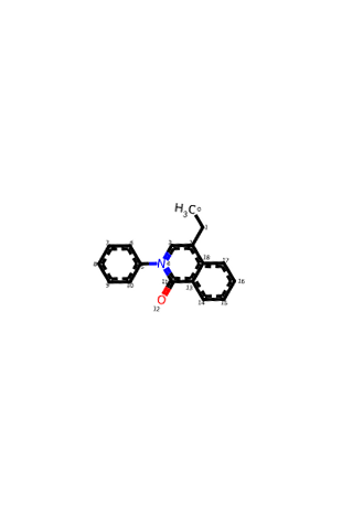 CCc1cn(-c2ccccc2)c(=O)c2ccccc12